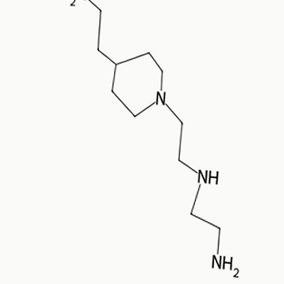 NCCNCCN1CCC(CCN)CC1